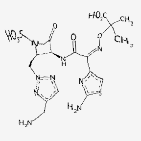 CC(C)(O/N=C(\C(=O)N[C@@H]1C(=O)N(S(=O)(=O)O)[C@@H]1Cn1ncc(CN)n1)c1csc(N)n1)C(=O)O